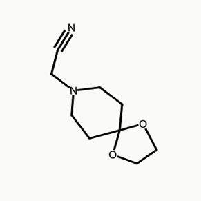 N#CCN1CCC2(CC1)OCCO2